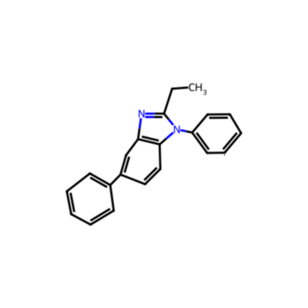 CCc1nc2cc(-c3ccccc3)ccc2n1-c1c[c]ccc1